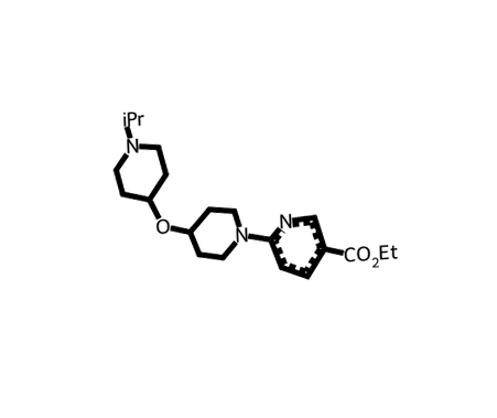 CCOC(=O)c1ccc(N2CCC(OC3CCN(C(C)C)CC3)CC2)nc1